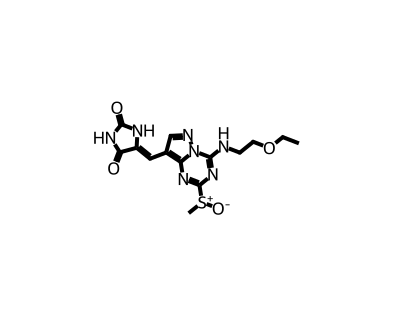 CCOCCNc1nc([S+](C)[O-])nc2c(/C=C3\NC(=O)NC3=O)cnn12